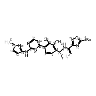 Cc1c([C@@H](C)NC(=O)c2noc(C(C)(C)C)n2)ccc(-c2ncnc(Nc3ccn(C)n3)n2)c1Cl